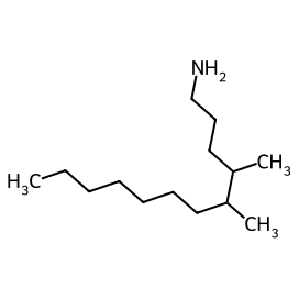 CCCCCCCC(C)C(C)CCCN